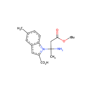 Cc1ccc2c(c1)cc(C(=O)O)n2C(C)(N)CC(=O)OC(C)(C)C